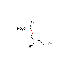 CCC(OCC(CCC(C)C)C(C)C)C(=O)O